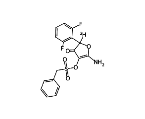 [2H]C1(c2c(F)cccc2F)OC(N)=C(OS(=O)(=O)Cc2ccccc2)C1=O